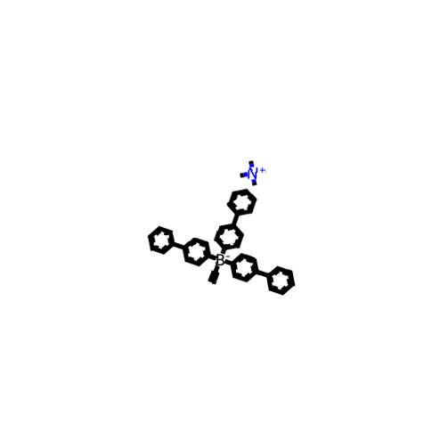 C#C[B-](c1ccc(-c2ccccc2)cc1)(c1ccc(-c2ccccc2)cc1)c1ccc(-c2ccccc2)cc1.C[N+](C)(C)C